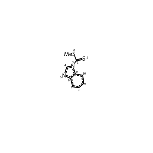 CSC(=S)n1cnc2ccccc21